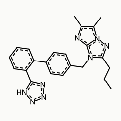 CCCc1nn2c(C)c(C)nc2n1Cc1ccc(-c2ccccc2-c2nnn[nH]2)cc1